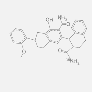 COc1ccccc1C1CCc2cc(C3c4ccccc4CCC3C([16NH2])=O)c(C(N)=O)c(O)c2C1